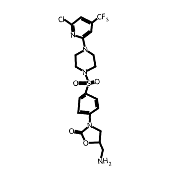 NCC1CN(c2ccc(S(=O)(=O)N3CCN(c4cc(C(F)(F)F)cc(Cl)n4)CC3)cc2)C(=O)O1